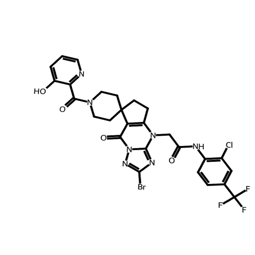 O=C(Cn1c2c(c(=O)n3nc(Br)nc13)C1(CC2)CCN(C(=O)c2ncccc2O)CC1)Nc1ccc(C(F)(F)F)cc1Cl